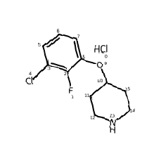 Cl.Fc1c(Cl)cccc1OC1CCNCC1